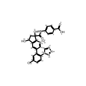 O=C(O)c1ccc(NC(=O)C2(O)CC(O)c3cc(-c4cc(Cl)ccc4-n4cnnn4)c[n+]([O-])c32)cc1